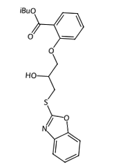 CC(C)COC(=O)c1ccccc1OCC(O)CSc1nc2ccccc2o1